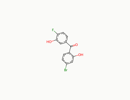 O=C(c1ccc(F)c(O)c1)c1ccc(Br)cc1O